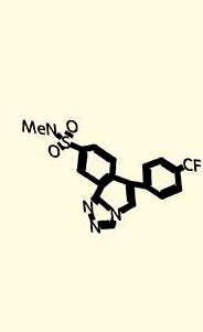 CNS(=O)(=O)c1ccc2c(-c3ccc(C(F)(F)F)cc3)cn3cnnc3c2c1